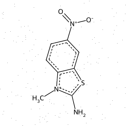 C[n+]1c(N)sc2cc([N+](=O)[O-])ccc21